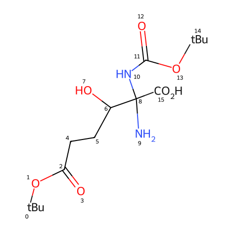 CC(C)(C)OC(=O)CCC(O)C(N)(NC(=O)OC(C)(C)C)C(=O)O